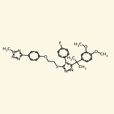 COc1ccc(C(C)(C)c2nnc(SCCOc3ccc(-c4nnn(C)n4)cc3)n2-c2ccc(F)cc2)cc1OC